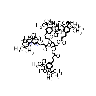 C=C/C(=C\C(=C(\O)CC(C)(C)C)C(C)(C)C)CCC(=O)OCC(COC(=O)CCc1cc(C(C)(C)C)c(O)c(C(C)(C)C)c1)(COC(=O)CCc1cc(C(C)(C)C)c(O)c(C(C)(C)C)c1)COC(=O)CCc1cc(C(C)(C)C)c(O)c(C(C)(C)C)c1